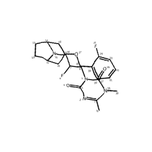 Cc1nc(=O)n(CC(F)CN2C3CCC2CC(OCc2ccccc2F)C3)c(=O)n1C